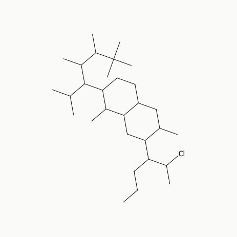 CCCC(C(C)Cl)C1CC2C(CCC(C(C(C)C)C(C)C(C)C(C)(C)C)C2C)CC1C